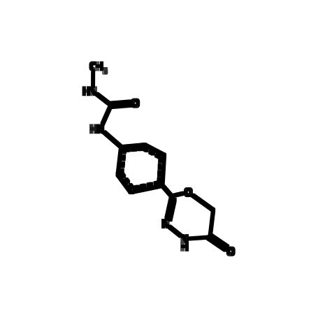 CNC(=O)Nc1ccc(C2=NNC(=O)CO2)cc1